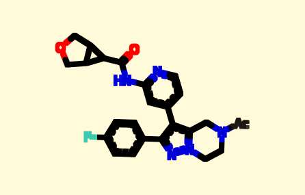 CC(=O)N1CCn2nc(-c3ccc(F)cc3)c(-c3ccnc(NC(=O)C4C5COCC54)c3)c2C1